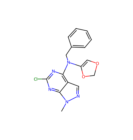 Cn1ncc2c(N(Cc3ccccc3)C3=COCO3)nc(Cl)nc21